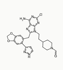 Nc1nc(Cl)nc2c1nc(Cc1cc3c(cc1-c1cc[nH]n1)OCO3)n2CCC1CCN(C=O)CC1